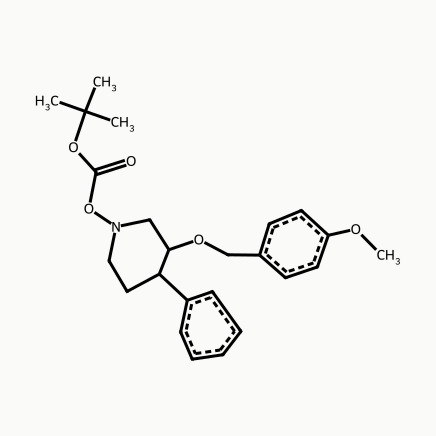 COc1ccc(COC2CN(OC(=O)OC(C)(C)C)CCC2c2ccccc2)cc1